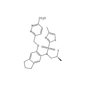 CCOC(=O)c1ccc(COc2cc3c(cc2N(C[C@H](C)F)S(=O)(=O)c2nc(C)cs2)CCC3)nn1